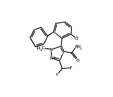 Cn1nc(C(F)F)c(C(N)=O)c1-c1c(Cl)cccc1-c1ccccc1